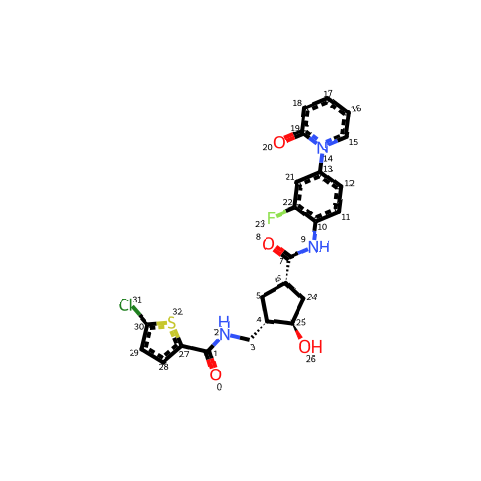 O=C(NC[C@@H]1C[C@H](C(=O)Nc2ccc(-n3ccccc3=O)cc2F)C[C@H]1O)c1ccc(Cl)s1